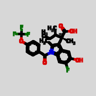 CCC(C)[C@@](C)(C(=O)O)c1c(C)n(C(=O)c2ccc(OC(F)(F)F)cc2)c2cc(F)c(O)cc12